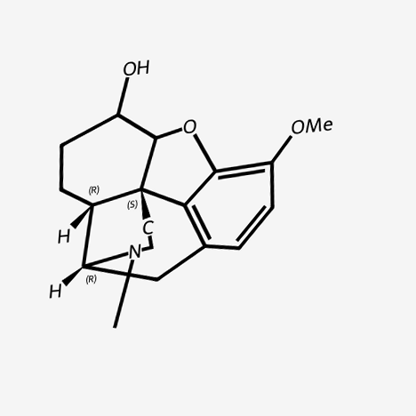 COc1ccc2c3c1OC1C(O)CC[C@H]4[C@@H](C2)N(C)CC[C@]314